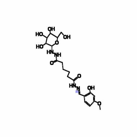 COc1ccc(/C=N/NC(=O)CCCCC(=O)NNC2OC(CO)C(O)C(O)C2O)c(O)c1